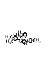 C=C1C(C)=CC(c2nc3cnc(N4CCN(C)CC4)cc3n2C(C)c2ccccn2)=CN1C